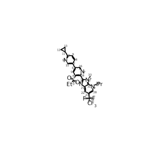 CCS(=O)(=O)c1cc(-c2ccc(C3CC3)nc2)cnc1-c1nc2cc(C(F)(F)C(F)(F)F)cn(C(C)C)c-2[n+]1C